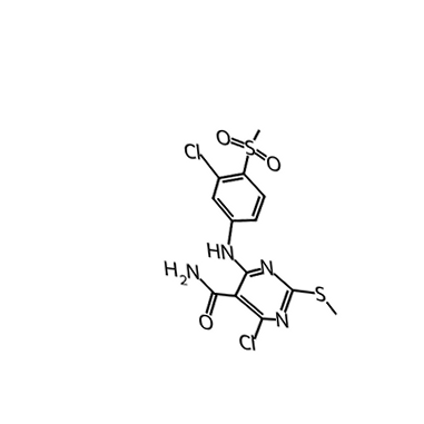 CSc1nc(Cl)c(C(N)=O)c(Nc2ccc(S(C)(=O)=O)c(Cl)c2)n1